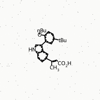 CCCCOc1ccc(C(C)(C)C)cc1-c1c[nH]c2ccc(C(C)=CC(=O)O)cc12